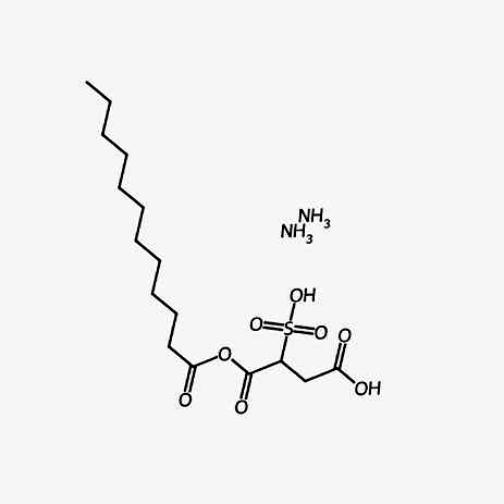 CCCCCCCCCCCC(=O)OC(=O)C(CC(=O)O)S(=O)(=O)O.N.N